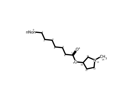 CCCCCCCCCCCCCCCC(=O)OC1CCN(C)C1